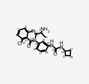 CC(N)c1nc2cccc(Cl)c2c(=O)n1-c1cccc(NC(=O)NC2CCC2)c1